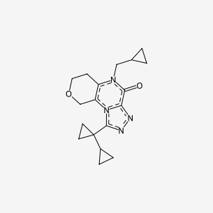 O=c1c2nnc(C3(C4CC4)CC3)n2c2c(n1CC1CC1)CCOC2